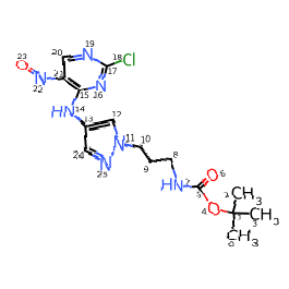 CC(C)(C)OC(=O)NCCCn1cc(Nc2nc(Cl)ncc2N=O)cn1